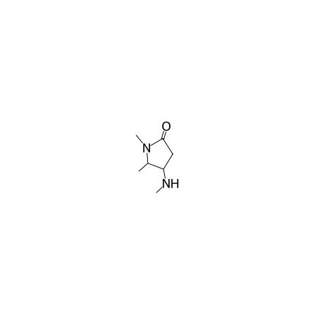 CNC1CC(=O)N(C)C1C